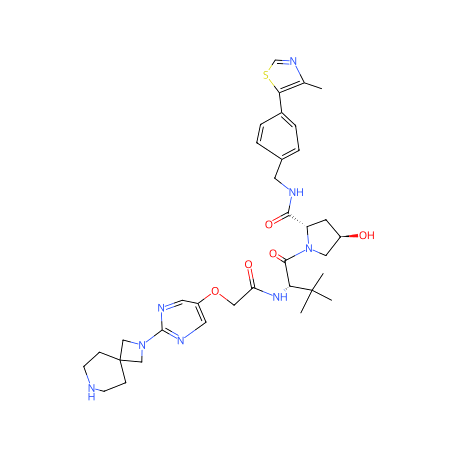 Cc1ncsc1-c1ccc(CNC(=O)[C@@H]2C[C@@H](O)CN2C(=O)[C@@H](NC(=O)COc2cnc(N3CC4(CCNCC4)C3)nc2)C(C)(C)C)cc1